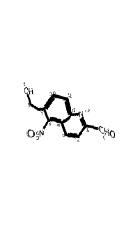 O=Cc1ccc2c([N+](=O)[O-])c(CO)ccc2n1